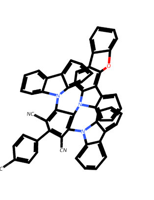 N#Cc1ccc(-c2c(C#N)c(-n3c4ccccc4c4ccccc43)c(-n3c4ccccc4c4c5oc6ccccc6c5ccc43)c(-n3c4ccccc4c4ccccc43)c2C#N)cc1